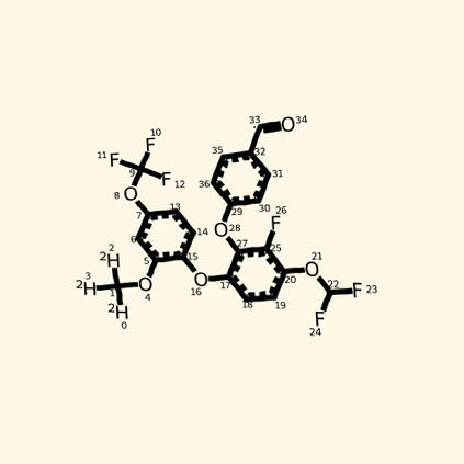 [2H]C([2H])([2H])Oc1cc(OC(F)(F)F)ccc1Oc1ccc(OC(F)F)c(F)c1Oc1ccc([C]=O)cc1